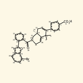 CC1(C)C(c2ccc(C(=O)O)cc2)=CC[C@]2(C)CN(C(=O)c3ccccc3-c3nc4cccc(Br)c4o3)CC=C12